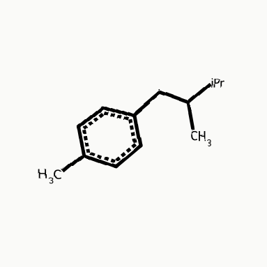 Cc1ccc([CH]C(C)C(C)C)cc1